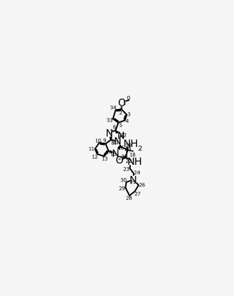 COc1ccc(-c2nc3c4ccccc4nc([C@](C)(N)C(=O)NCCN4CCCCC4)n3n2)cc1